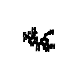 CNc1nc(Nc2cc(CC#N)cc3[nH]ncc23)ncc1C(F)(F)F